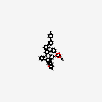 Cc1ccc(-c2ccc3c(c2)c2ccccc2n3-c2ccc(-c3ccc(C#N)cc3)cc2-c2cccc(-n3c4ccccc4c4cc(-c5ccc(C)cc5)ccc43)c2-c2nc(-c3ccccc3)nc(-c3ccccc3)n2)cc1